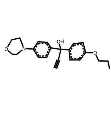 C#CC(O)(c1ccc(OCCC)cc1)c1ccc(N2CCOCC2)cc1